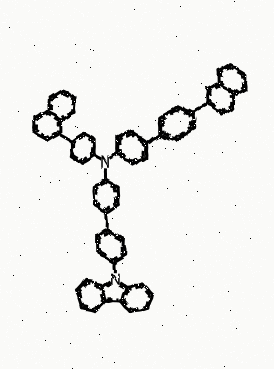 c1ccc2cc(-c3ccc(-c4ccc(N(c5ccc(-c6ccc(-n7c8ccccc8c8ccccc87)cc6)cc5)c5ccc(-c6cccc7ccccc67)cc5)cc4)cc3)ccc2c1